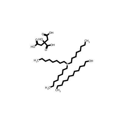 CCCCCCCCCCCCO.CCCCCCCCP(CCCCCCCC)CCCCCCCC.O=C(O)CC(O)(CC(=O)O)C(=O)O